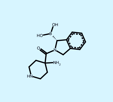 NC1(C(=O)N2Cc3ccccc3[C@H]2B(O)O)CCNCC1